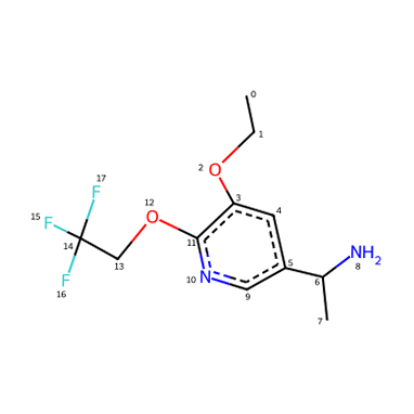 CCOc1cc(C(C)N)cnc1OCC(F)(F)F